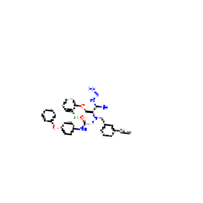 COc1cccc(CN(CC(=O)Nc2ccc(Oc3ccccc3)cc2)C(COc2ccccc2Cl)C(=N)NN=N)c1